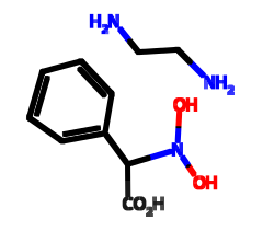 NCCN.O=C(O)C(c1ccccc1)N(O)O